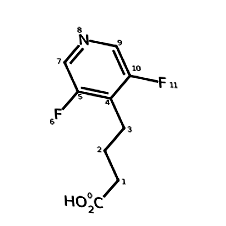 O=C(O)CCCc1c(F)cncc1F